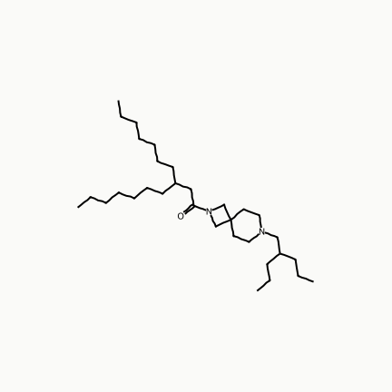 CCCCCCCC(CCCCCCC)CC(=O)N1CC2(CCN(CC(CCC)CCC)CC2)C1